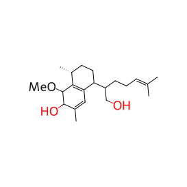 COC1C2=C(C=C(C)C1O)C(C(CO)CCC=C(C)C)CC[C@H]2C